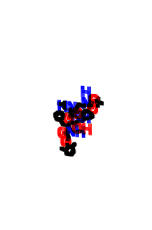 Cc1cccc(C)c1OCC(=O)N[C@@H](Cc1ccccc1)C[C@H](O)[C@H](Cc1ccccc1)NC(=O)[C@H](CC(C)C)NC(=O)CCNC(=O)OC(C)(C)C